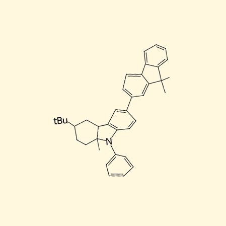 CC1(C)c2ccccc2-c2ccc(-c3ccc4c(c3)C3CC(C(C)(C)C)CCC3(C)N4c3ccccc3)cc21